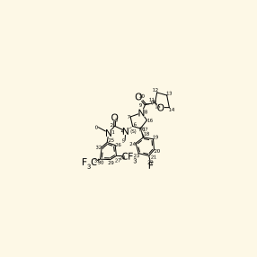 CN(C(=O)N(C)[C@@H]1CN(C(=O)[C@H]2CCCO2)C[C@H]1c1ccc(F)cc1)c1cc(C(F)(F)F)cc(C(F)(F)F)c1